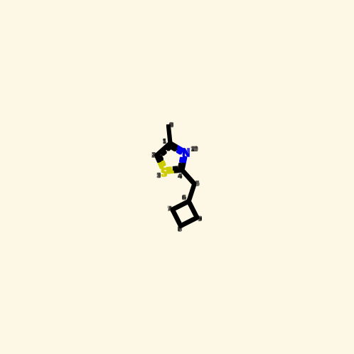 Cc1csc(C[C]2CCC2)n1